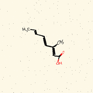 C/C=C/C=C/C(C)=C/C(=O)O